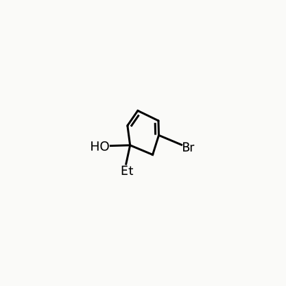 CCC1(O)C=CC=C(Br)C1